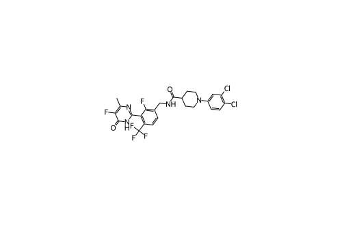 Cc1nc(-c2c(C(F)(F)F)ccc(CNC(=O)C3CCN(c4ccc(Cl)c(Cl)c4)CC3)c2F)[nH]c(=O)c1F